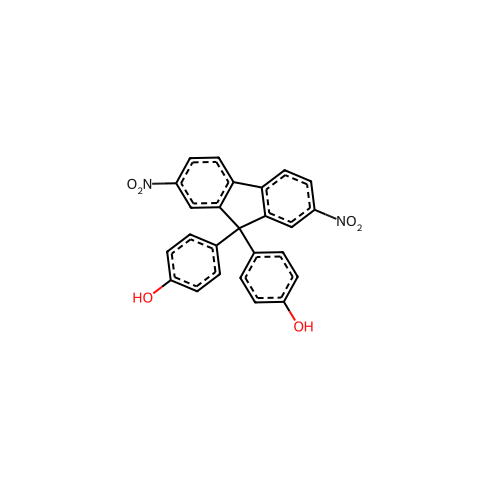 O=[N+]([O-])c1ccc2c(c1)C(c1ccc(O)cc1)(c1ccc(O)cc1)c1cc([N+](=O)[O-])ccc1-2